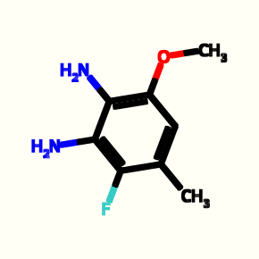 COc1cc(C)c(F)c(N)c1N